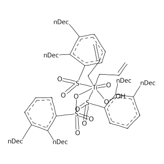 C=C[CH2][Ti](=[O])([CH2]C=C)([O]O)([O]S(=O)(=O)c1cccc(CCCCCCCCCC)c1CCCCCCCCCC)([S](=O)(=O)c1cccc(CCCCCCCCCC)c1CCCCCCCCCC)[S](=O)(=O)c1cccc(CCCCCCCCCC)c1CCCCCCCCCC